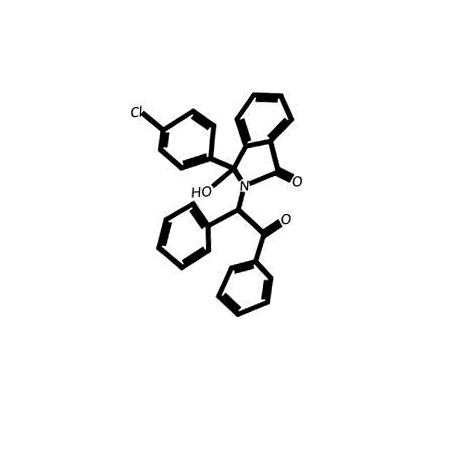 O=C(c1ccccc1)C(c1ccccc1)N1C(=O)c2ccccc2C1(O)c1ccc(Cl)cc1